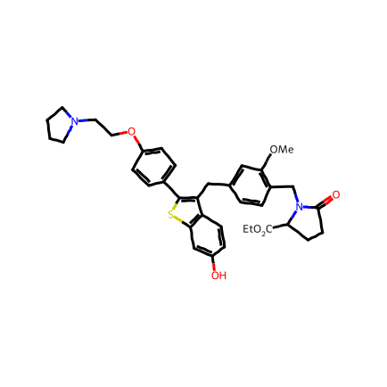 CCOC(=O)C1CCC(=O)N1Cc1ccc(Cc2c(-c3ccc(OCCN4CCCC4)cc3)sc3cc(O)ccc23)cc1OC